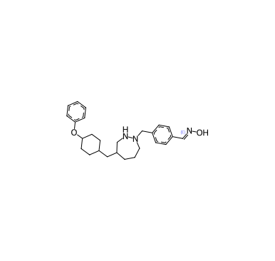 O/N=C/c1ccc(CN2CCCC(CC3CCC(Oc4ccccc4)CC3)CN2)cc1